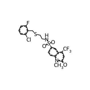 Cn1c(=O)cc(C(F)(F)F)c2cc(S(=O)(=O)NCCSCc3c(F)cccc3Cl)ccc21